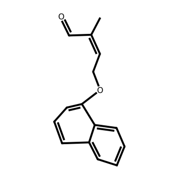 CC(C=O)=CCOc1cccc2ccccc12